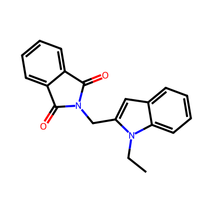 CCn1c(CN2C(=O)c3ccccc3C2=O)cc2ccccc21